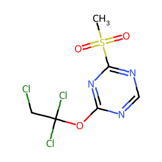 CS(=O)(=O)c1ncnc(OC(Cl)(Cl)CCl)n1